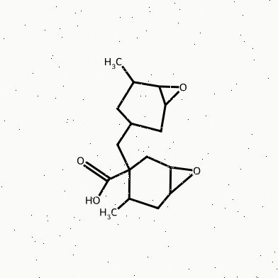 CC1CC(CC2(C(=O)O)CC3OC3CC2C)CC2OC12